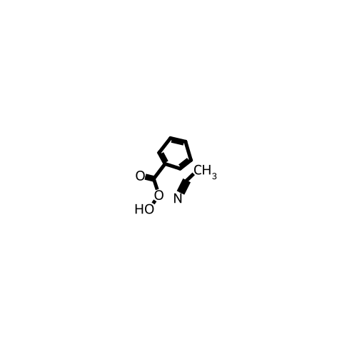 CC#N.O=C(OO)c1ccccc1